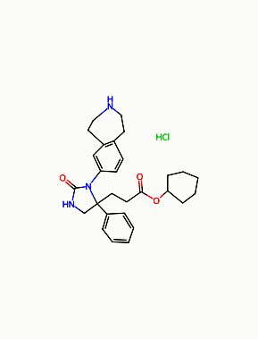 Cl.O=C(CCC1(c2ccccc2)CNC(=O)N1c1ccc2c(c1)CCNCC2)OC1CCCCC1